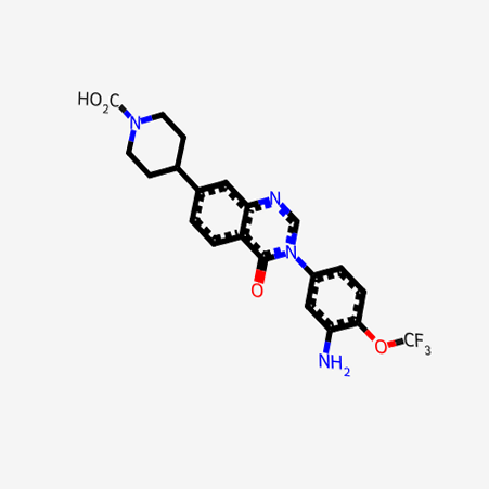 Nc1cc(-n2cnc3cc(C4CCN(C(=O)O)CC4)ccc3c2=O)ccc1OC(F)(F)F